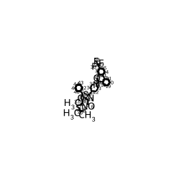 CC1(C)CN(C(=O)c2csc(C3CCN(C(=O)c4ccccc4-c4ccc(C(F)(F)F)cc4)CC3)n2)C(C)(COCc2ccccc2)S1